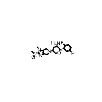 Cn1c([S+](C)[O-])nc2c1CN([C@H]1CO[C@H](c3cc(F)ccc3F)[C@@H](N)C1)C2